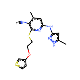 [C-]#[N+]c1c(C)cc(Nc2cc(C)[nH]n2)nc1SCCOc1ccsc1